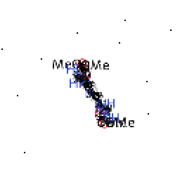 COC(=O)NC(C(=O)N1CCC[C@H]1c1ncc(-c2ccc3cc(-c4ccc5nc([C@@H]6CCCN6C(=O)[C@@H](NC(=O)OC)[C@@H](C)OC)[nH]c5c4)ncc3c2)[nH]1)[C@@H](C)OC